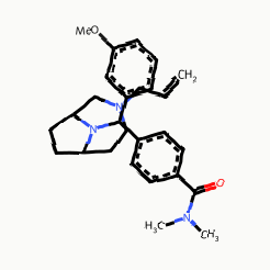 C=CCN1CCC2CCC(C1)N2C(c1ccc(C(=O)N(C)C)cc1)c1cccc(OC)c1